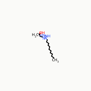 C=C(O)CC1=NN(CCCCCCCCCCCC)NN1